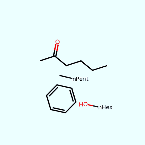 CCCCC(C)=O.CCCCCC.CCCCCCO.c1ccccc1